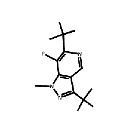 Cn1nc(C(C)(C)C)c2cnc(C(C)(C)C)c(F)c21